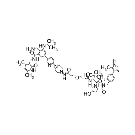 CC1=C(c2ccc(CNC(=O)[C@@H]3CC(O)CN3C(=O)[C@@H](NC(=O)CCOCCC(=O)NN3CCN(c4ccc(-c5cc(NC(C)C)c(CN)c(C(=O)NCc6c(C)cc(C)[nH]c6=O)c5)cn4)CC3)C(C)(C)C)cc2)SCN1